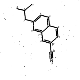 CC(C)Cc1ccc2ccc(C#N)cc2c1